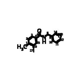 Cc1ccc(C(=O)NCc2cccnc2)cc1I